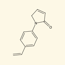 C=Cc1ccc(N2CC=CC2=O)cc1